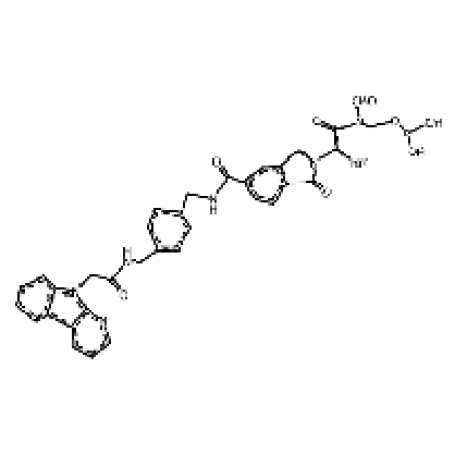 CCCC(C(=O)N(C=O)COP(O)O)N1Cc2cc(C(=O)NCc3ccc(CNC(=O)Cn4c5ccccc5c5cccnc54)cc3)ccc2C1=O